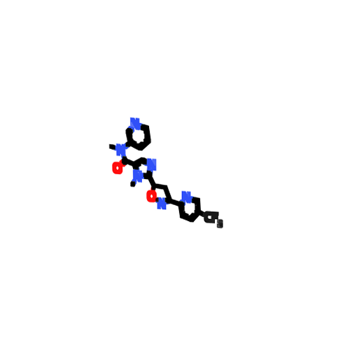 CN(C(=O)c1cnc(C2CC(c3ccc(C(F)(F)F)cn3)=NO2)n1C)c1cccnc1